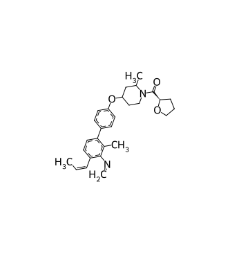 C=Nc1c(/C=C\C)ccc(-c2ccc(OC3CCN(C(=O)[C@H]4CCCO4)C(C)C3)cc2)c1C